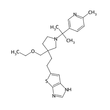 CCOCC1(CCc2cc3[nH]cnc3s2)CCN(C(C)(C)c2ccc(C)nc2)C1